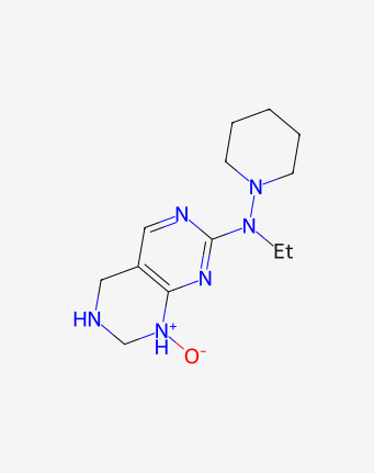 CCN(c1ncc2c(n1)[NH+]([O-])CNC2)N1CCCCC1